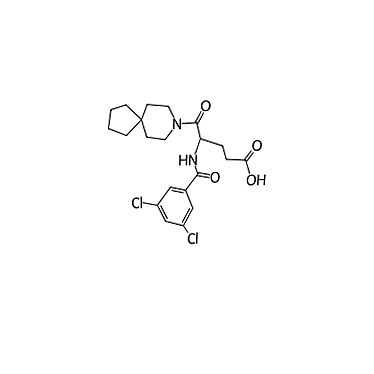 O=C(O)CCC(NC(=O)c1cc(Cl)cc(Cl)c1)C(=O)N1CCC2(CCCC2)CC1